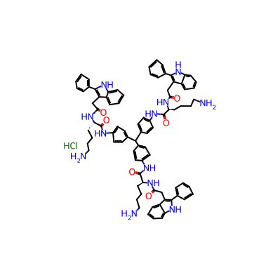 Cl.NCCCC[C@H](NC(=O)Cc1c(-c2ccccc2)[nH]c2ccccc12)C(=O)Nc1ccc(C(c2ccc(NC(=O)[C@H](CCCCN)NC(=O)Cc3c(-c4ccccc4)[nH]c4ccccc34)cc2)c2ccc(NC(=O)[C@H](CCCCN)NC(=O)Cc3c(-c4ccccc4)[nH]c4ccccc34)cc2)cc1